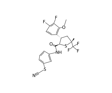 COc1c([C@@H]2C[C@](C)(C(F)(F)F)S[C@H]2C(=O)Nc2cccc(SC#N)c2)ccc(F)c1F